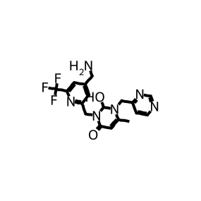 CC1=CC(=O)N(Cc2cc(CN)cc(C(F)(F)F)n2)C(O)N1Cc1ccncn1